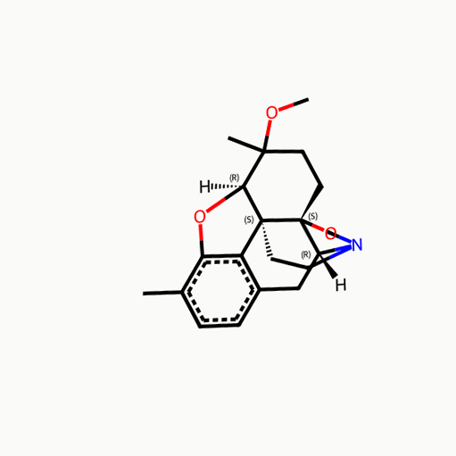 COC1(C)CC[C@]23OCN4CC[C@@]25c2c(ccc(C)c2O[C@@H]15)C[C@@H]43